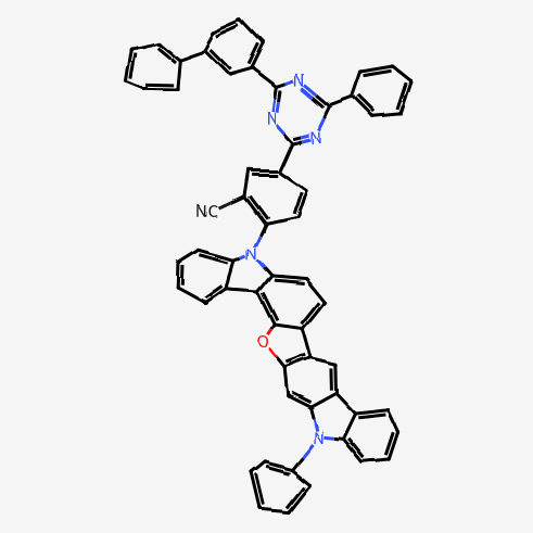 N#Cc1cc(-c2nc(-c3ccccc3)nc(-c3cccc(-c4ccccc4)c3)n2)ccc1-n1c2ccccc2c2c3oc4cc5c(cc4c3ccc21)c1ccccc1n5-c1ccccc1